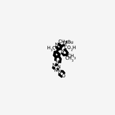 Cc1nc(C)c([C@H](OC(C)(C)C)C(=O)O)c(N2CCC(C)(C)CC2)c1-c1ccc2c(c1)CCN(c1ncnc(N3CCOCC3)n1)C2